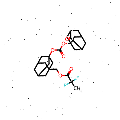 CC(F)(F)C(=O)OCC12CC3CC(C1)CC(OC(=O)OC14CC5CC(C1)C(=O)C(C5)C4)(C3)C2